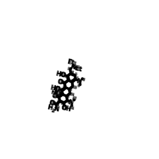 CCN(CC)Cc1cc(N(C)C)c2c(c1O)C(=O)C1=C(O)C3(O)C(=O)C(C(N)=O)=C(O)C(N(C)C)C3CC1C2